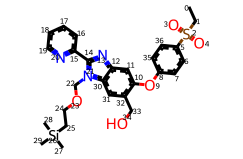 CCS(=O)(=O)c1ccc(Oc2cc3nc(-c4ccccn4)n(COCC[Si](C)(C)C)c3cc2CO)cc1